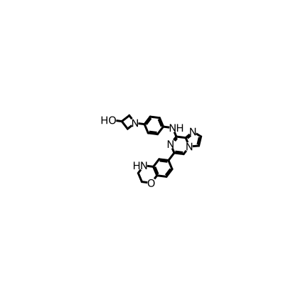 OC1CN(c2ccc(Nc3nc(-c4ccc5c(c4)NCCO5)cn4ccnc34)cc2)C1